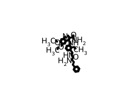 CCOc1cc2ncc(C(N)=O)c(Nc3cccc(CNC(=O)[C@@H](N)CCc4ccccc4)c3CC)c2cc1OCC